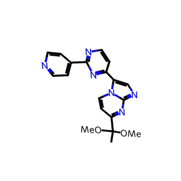 COC(C)(OC)c1ccn2c(-c3ccnc(-c4ccncc4)n3)cnc2n1